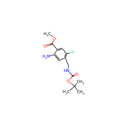 COC(=O)c1cc(F)c(CNC(=O)OC(C)(C)C)cc1N